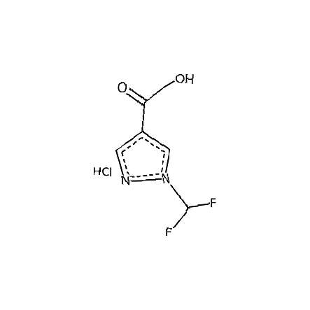 Cl.O=C(O)c1cnn(C(F)F)c1